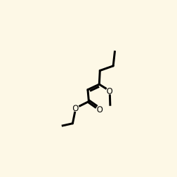 CCCC(=CC(=O)OCC)OC